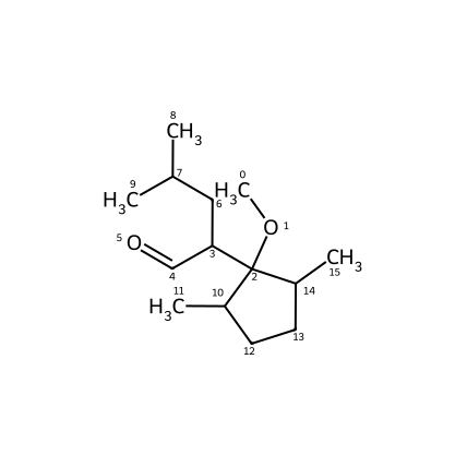 COC1(C(C=O)CC(C)C)C(C)CCC1C